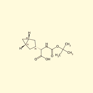 CC(C)(C)OC(=O)NC(C(=O)O)[C@@H]1C[C@@H]2C[C@@H]2C1